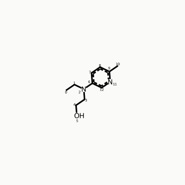 CCN(CCO)c1ccc(C)nc1